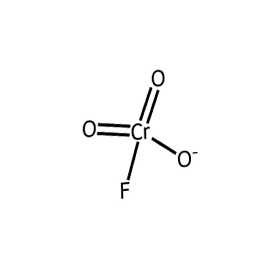 [O]=[Cr](=[O])([O-])[F]